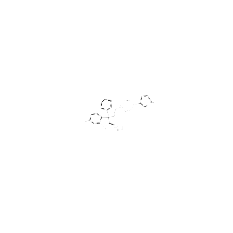 CCc1ccc2c(c1)NC(=O)C2(CCN1CCC(c2ccncc2)CC1)c1ccccc1.Cl.Cl